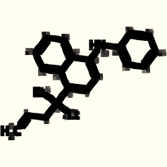 C=CCC(CC)(CC)c1ccc(Nc2ccccc2)c2ccccc12